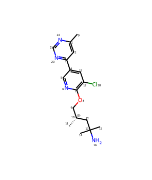 Cc1cc(-c2cnc(OC[C@@H](C)CC(C)(C)N)c(Cl)c2)ncn1